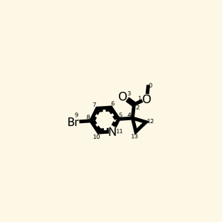 COC(=O)C1(c2ccc(Br)cn2)CC1